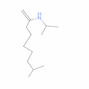 C=C(CCCCCC(C)C)NC(C)C